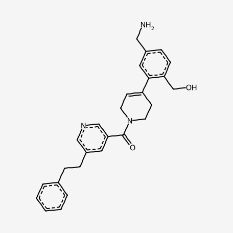 NCc1ccc(CO)c(C2=CCN(C(=O)c3cncc(CCc4ccccc4)c3)CC2)c1